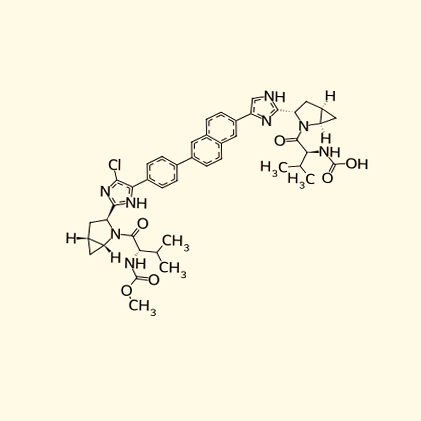 COC(=O)N[C@H](C(=O)N1[C@@H]2C[C@@H]2C[C@H]1c1nc(Cl)c(-c2ccc(-c3ccc4cc(-c5c[nH]c([C@@H]6C[C@H]7C[C@H]7N6C(=O)[C@@H](NC(=O)O)C(C)C)n5)ccc4c3)cc2)[nH]1)C(C)C